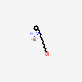 Br.NC(CCCCCCCCCCCO)Cc1ccccc1